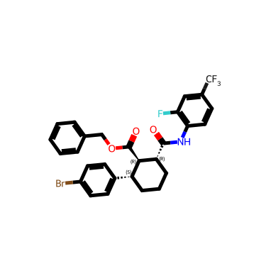 O=C(OCc1ccccc1)[C@@H]1[C@@H](c2ccc(Br)cc2)CCC[C@H]1C(=O)Nc1ccc(C(F)(F)F)cc1F